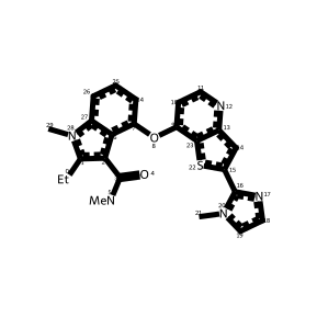 CCc1c(C(=O)NC)c2c(Oc3ccnc4cc(-c5nccn5C)sc34)cccc2n1C